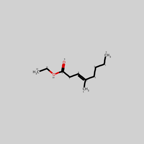 CCCCC(C)=CCC(=O)OCC